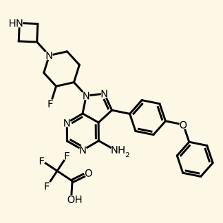 Nc1ncnc2c1c(-c1ccc(Oc3ccccc3)cc1)nn2C1CCN(C2CNC2)CC1F.O=C(O)C(F)(F)F